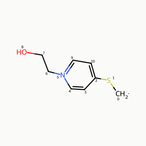 [CH2]Sc1cc[n+](CCO)cc1